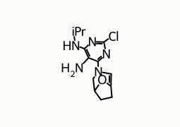 CC(C)Nc1nc(Cl)nc(N2C=C3CCC(C2)O3)c1N